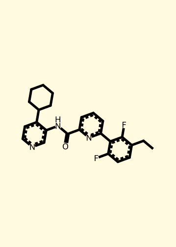 CCc1ccc(F)c(-c2cccc(C(=O)Nc3cnccc3C3CCCCC3)n2)c1F